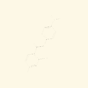 O=C(Nc1ccc([N+](=O)[O-])cc1)c1ccc(F)cc1O